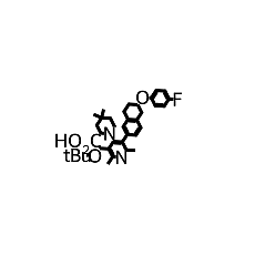 Cc1nc(C)c([C@H](OC(C)(C)C)C(=O)O)c(N2CCC(C)(C)CC2)c1-c1ccc2c(c1)CCC(Oc1ccc(F)cc1)C2